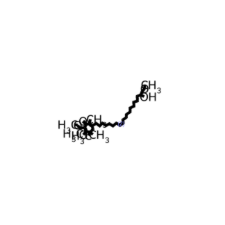 COCC1=C(OC)C(C)(C)CC(CCCCCCC/C=C\CCCCCCCCCC(O)COC)=C(C)C1=O